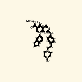 CONC(=O)c1cn(-c2ccc3c(c2)CCC3)c2nc(Nc3ccc(CCN4CCN(C(C)=O)CC4)cc3)ncc2c1=O